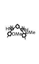 COc1cc(C)ccc1-c1cc(-c2cccc(-c3cc(-c4ccc(C)cc4OC)[nH]n3)c2)n[nH]1